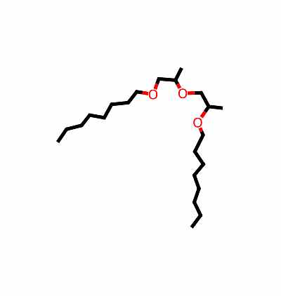 CCCCCCCCOCC(C)OCC(C)OCCCCCCCC